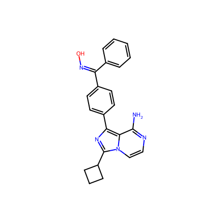 Nc1nccn2c(C3CCC3)nc(-c3ccc(C(=NO)c4ccccc4)cc3)c12